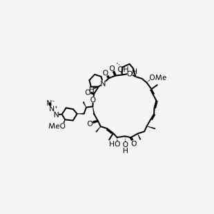 CO[C@H]1C[C@@H]2CC[C@@H](C)[C@@](O)(O2)C(=O)C(=O)N2CCCC[C@H]2C(=O)O[C@H]([C@H](C)C[C@@H]2CCC(N=[N+]=[N-])[C@H](OC)C2)CC(=O)[C@H](C)/C=C(\C)[C@@H](O)[C@@H](O)C(=O)[C@H](C)C[C@H](C)/C=C/C=C/C=C/1C